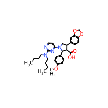 CCCCN(CCCC)c1nccc(N2CC(c3ccc4c(c3)OCO4)C(C(=O)O)C2c2ccc(OC)cc2)n1